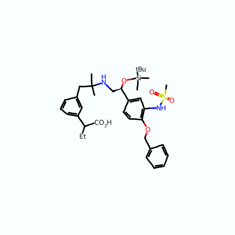 CCC(C(=O)O)c1cccc(CC(C)(C)NC[C@@H](O[Si](C)(C)C(C)(C)C)c2ccc(OCc3ccccc3)c(NS(C)(=O)=O)c2)c1